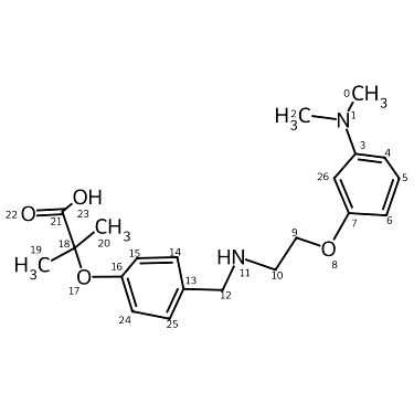 CN(C)c1cccc(OCCNCc2ccc(OC(C)(C)C(=O)O)cc2)c1